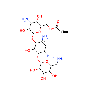 CCCCCCCCCC(=O)OCC1OC(OC2C(O)C(OC3OC(CN)C(O)C(O)C3O)C(N)C[C@@H]2N)C(O)C(N)C1O